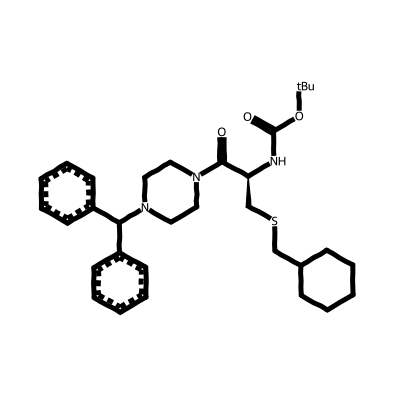 CC(C)(C)OC(=O)N[C@@H](CSCC1CCCCC1)C(=O)N1CCN(C(c2ccccc2)c2ccccc2)CC1